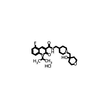 CC(C)n1c(=O)c(C(=O)NCC2CCN(CC3(O)CCOCC3)CC2)cc2c(F)cccc21.Cl